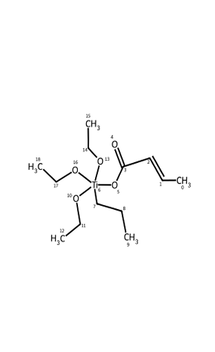 CC=CC(=O)[O][Ti]([CH2]CC)([O]CC)([O]CC)[O]CC